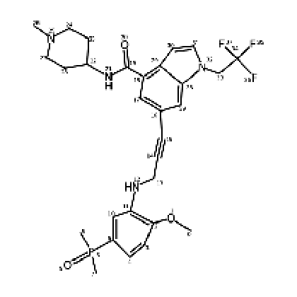 COc1ccc(P(C)(C)=O)cc1NCC#Cc1cc(C(=O)NC2CCN(C)CC2)c2ccn(CC(F)(F)F)c2c1